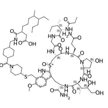 CCCC(CC)C(C)CCCC(CC(=O)O)C(=O)NCC1CCC(C(=O)N2CCC(SCc3c(OC)ccc4c5c([nH]c34)[S+]([O-])C[C@H](NC(=O)CNC(=O)[C@@H](NC(=O)CC)[C@@H](C)CC)C(=O)N[C@@H](CCC(N)=O)C(=O)N3C[C@H](O)C[C@H]3C(=O)N[C@@H]([C@@H](C)[C@@H](O)CO)C(=O)N[C@H](C(N)=O)C5)CC2)CC1